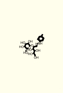 Cc1ccc(N/N=C/[C@H](O[C@@H]2O[C@H](CO)[C@@H](O)[C@H](O)[C@H]2O)[C@@H](O)[C@H](O)[C@H](O)CO)cc1